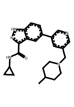 CC1CCN(Cc2cncc(-c3ccc4[nH]nc(C(=O)NC5CC5)c4c3)c2)CC1